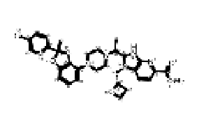 COC(=O)c1ccc2c(n1)NC([C@H](C)N1CCN(c3cccc4c3OC(C)(c3ccc(Cl)cn3)O4)CC1)N2C[C@@H]1CCO1